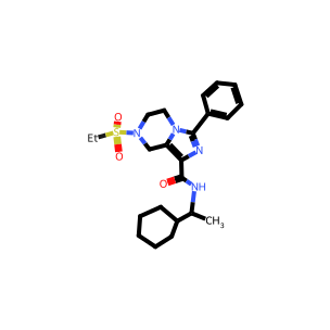 CCS(=O)(=O)N1CCn2c(-c3ccccc3)nc(C(=O)NC(C)C3CCCCC3)c2C1